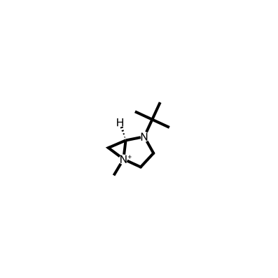 CC(C)(C)N1CC[N+]2(C)C[C@@H]12